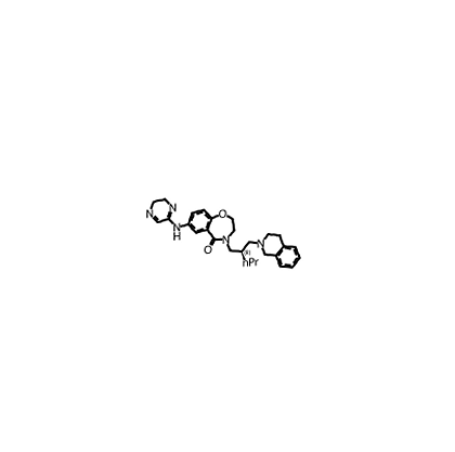 CCC[C@H](CN1CCc2ccccc2C1)CN1CCOc2ccc(NC3=NCCN=C3)cc2C1=O